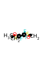 C=CC(=O)Sc1c(F)cc(-c2ccc(SC(=O)C(=C)C)cc2F)cc1F